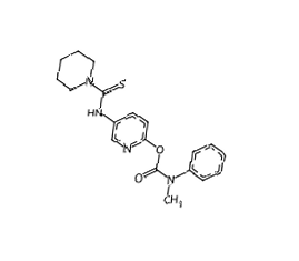 CN(C(=O)Oc1ccc(NC(=S)N2CCCCC2)cn1)c1ccccc1